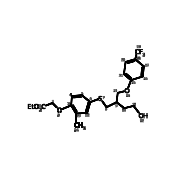 CCOC(=O)COc1ccc(SCC(CCO)COc2ccc(C(F)(F)F)cc2)cc1C